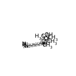 Cc1c(C)c2c(c(C)c1O)CC[C@@](C)(CCCCCCCCCn1ccnc1)O2